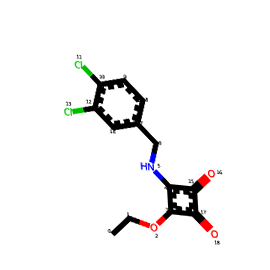 CCOc1c(NCc2ccc(Cl)c(Cl)c2)c(=O)c1=O